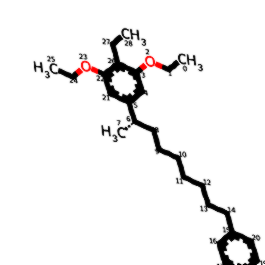 CCOc1cc([C@@H](C)CCCCCCCc2ccccc2)cc(OCC)c1CC